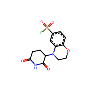 O=C1CCC(N2CCOc3ccc(S(=O)(=O)F)cc32)C(=O)N1